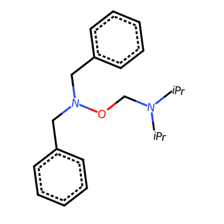 CC(C)N(CON(Cc1ccccc1)Cc1ccccc1)C(C)C